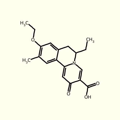 CCOc1cc2c(cc1C)-c1cc(=O)c(C(=O)O)cn1C(CC)C2